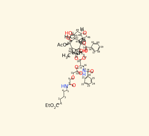 CCOC(=O)CCCCCNC(=O)COCC(=O)O[C@H](CNC(=O)c1ccccc1)C(=O)O[C@H]1C[C@]2(O)[C@H](C)C(=C1C)[C@@H](OC(C)=O)C(=O)[C@@]1(C)[C@@H]([C@@H]3CO[C@@H]3C[C@@H]1O)[C@@H]2OC(=O)c1ccccc1